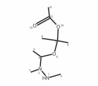 CNN(C)C(C)OC(C)(C)OC(C)=O